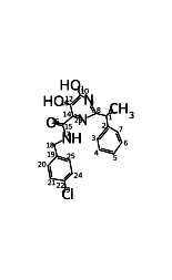 CC(c1ccccc1)c1nc(O)c(O)c(C(=O)NCc2ccc(Cl)cc2)n1